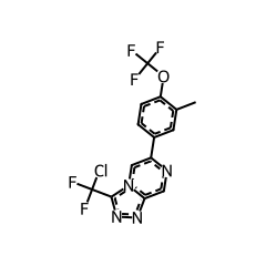 Cc1cc(-c2cn3c(C(F)(F)Cl)nnc3cn2)ccc1OC(F)(F)F